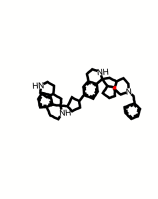 c1ccc(CN2CCC(CC3(C4CCCC4)NCCc4cc(C5CCC(C6(CC7CCNCC7)NCCc7ccccc76)C5)ccc43)CC2)cc1